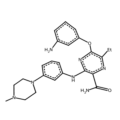 CCc1nc(C(N)=O)c(Nc2cccc(N3CCN(C)CC3)c2)nc1Oc1cccc(N)c1